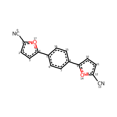 N#Cc1ccc(-c2ccc(-c3ccc(C#N)o3)cc2)o1